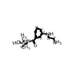 C[Si](C)(O)CNC(=O)c1cccc(NCCN)c1